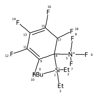 CCCC[Si](CC)(CC)C1([N+](F)(F)F)C(F)=C(F)C(F)=C(F)C1F